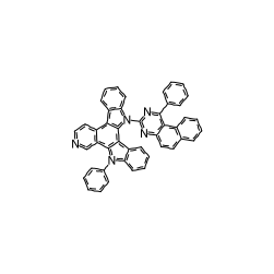 c1ccc(-c2nc(-n3c4ccccc4c4c5ccncc5c5c(c6ccccc6n5-c5ccccc5)c43)nc3ccc4ccccc4c23)cc1